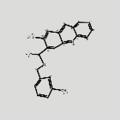 Cc1cccc(COC(C)c2cc3nc4ccccc4cc3cc2C=O)c1